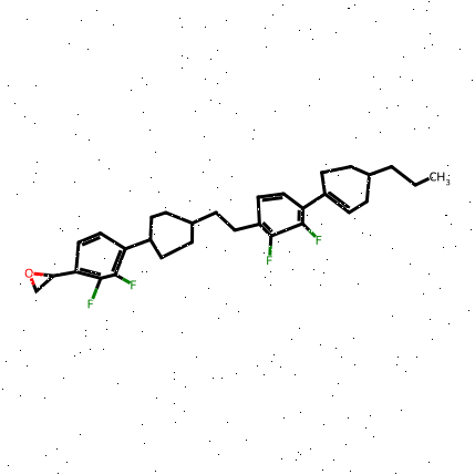 CCCC1CC=C(c2ccc(CCC3CCC(c4ccc(C5CO5)c(F)c4F)CC3)c(F)c2F)CC1